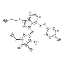 NCCCn1nc(O[C@@H]2O[C@H](CO)[C@@H](O)[C@H](O)[C@H]2O)c2c(CCc3ccc(O)cc3)ccnc21